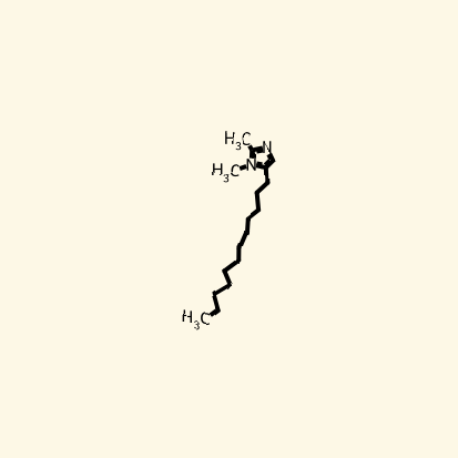 CCCCCCCCCCCCc1cnc(C)n1C